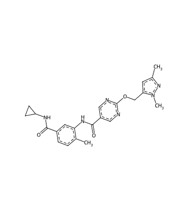 Cc1cc(COc2ncc(C(=O)Nc3cc(C(=O)NC4CC4)ccc3C)cn2)n(C)n1